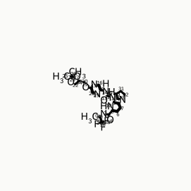 C[C@@H](NC(=O)c1ccc2c(n1)N(C(=O)Nc1cnc(OC[C@H]3COC(C)(C)O3)cn1)[C@H]1CCN2C1)C(F)(F)F